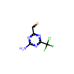 Nc1nc(C=S)nc(C(F)(F)Cl)n1